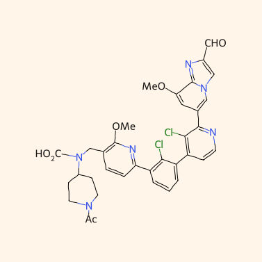 COc1nc(-c2cccc(-c3ccnc(-c4cc(OC)c5nc(C=O)cn5c4)c3Cl)c2Cl)ccc1CN(C(=O)O)C1CCN(C(C)=O)CC1